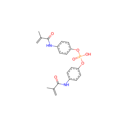 C=C(C)C(=O)Nc1ccc(OP(=O)(O)Oc2ccc(NC(=O)C(=C)C)cc2)cc1